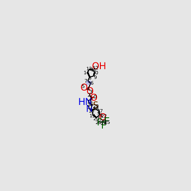 O=C(COC(=O)/C=C/c1ccc(O)cc1)Nc1nc2ccc(OC(F)(F)F)cc2s1